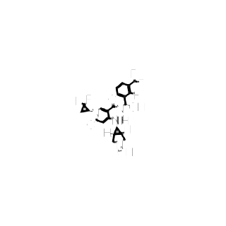 C[C@@H](NC(=O)c1cn([C@H]2CC2(F)F)c(=O)cc1N[C@@H]1[C@@H]2CN(C)C[C@@H]21)c1cccc(C(F)F)c1F